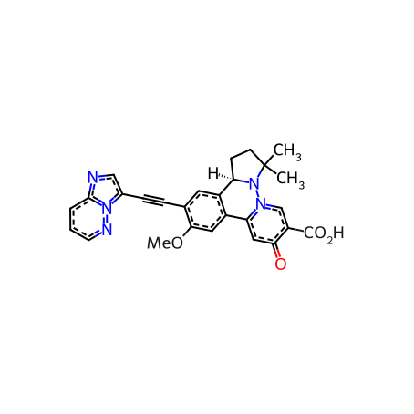 COc1cc2c(cc1C#Cc1cnc3cccnn13)[C@H]1CCC(C)(C)N1n1cc(C(=O)O)c(=O)cc1-2